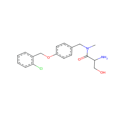 CN(Cc1ccc(OCc2ccccc2Cl)cc1)C(=O)C(N)CO